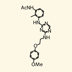 COc1ccc(OCCNc2ncnc(Nc3cccc(NC(C)=O)c3C)n2)cc1